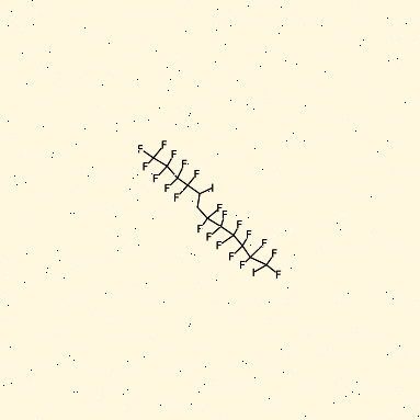 FC(F)(F)C(F)(F)C(F)(F)C(F)(F)C(I)CC(F)(F)C(F)(F)C(F)(F)C(F)(F)C(F)(F)C(F)(F)I